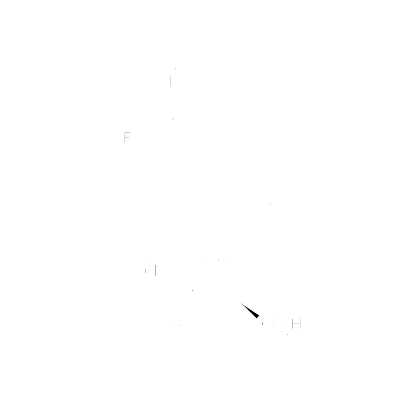 O=C(O)[C@@H]1[C@@H](c2cccc(C(F)F)c2)C1(Cl)Cl